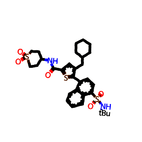 CC(C)(C)NS(=O)(=O)c1ccc(-c2sc(C(=O)NC3CCS(=O)(=O)CC3)cc2CC2CCCCC2)c2ccccc12